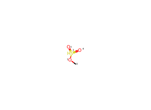 CO[SH](=O)=O